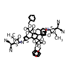 CCN1C(=O)/C(=N\c2cc3c(s2)-c2cc4c(cc2C(C(=O)OCc2ccccc2)(C(=O)OCc2ccccc2)O3)-c2sc(/N=C3/SC(=C(C#N)C#N)N(CC)C3=O)cc2OC4(C(=O)OCc2ccccc2)C(=O)OCc2ccccc2)SC1=C(C#N)C#N